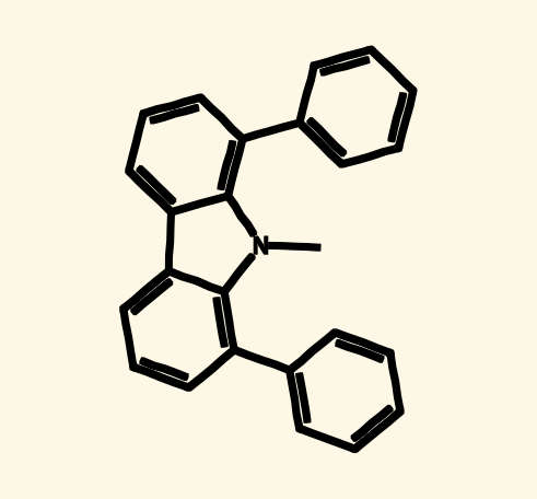 Cn1c2c(-c3ccccc3)cccc2c2cccc(-c3ccccc3)c21